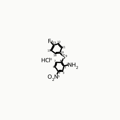 Cl.Nc1cc([N+](=O)[O-])ccc1Sc1ccc(F)cc1